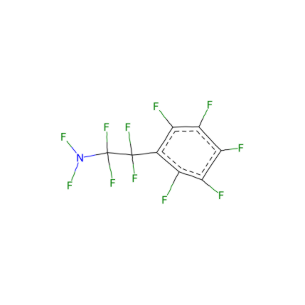 Fc1c(F)c(F)c(C(F)(F)C(F)(F)N(F)F)c(F)c1F